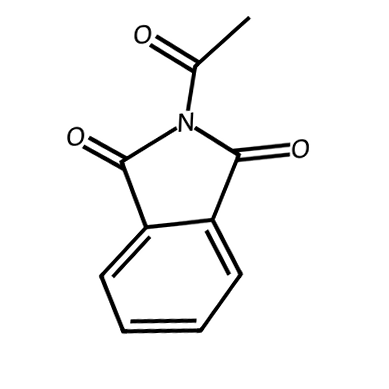 CC(=O)N1C(=O)c2ccccc2C1=O